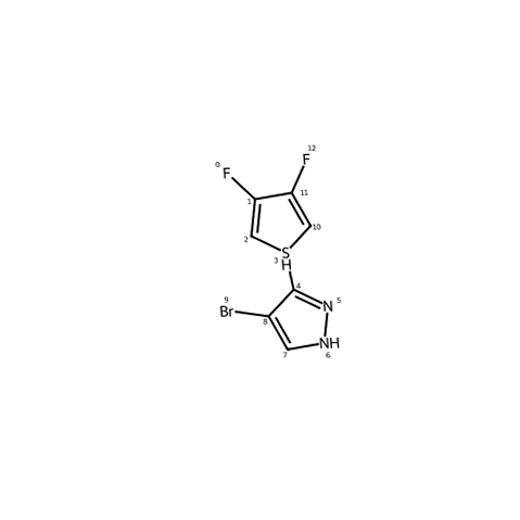 FC1=C[SH](c2n[nH]cc2Br)C=C1F